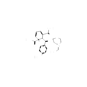 CCN1CCOCC1.Cc1ccc(C(=S)C2C(C(=O)O)=CC=CC2(C)C(=O)O)cc1